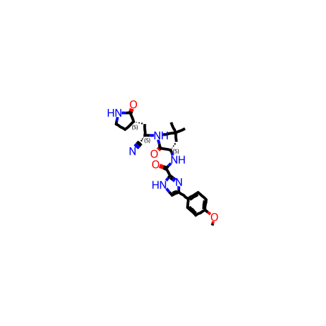 COc1ccc(-c2c[nH]c(C(=O)N[C@@H](CC(C)(C)C)C(=O)N[C@H](C#N)C[C@@H]3CCNC3=O)n2)cc1